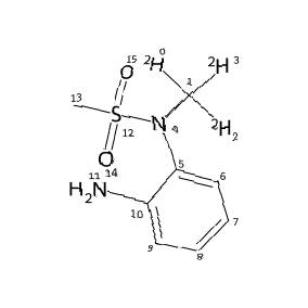 [2H]C([2H])([2H])N(c1ccccc1N)S(C)(=O)=O